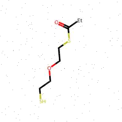 CCC(=O)SCCOCCS